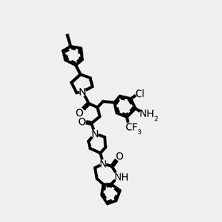 Cc1ccc(C2CCN(C(=O)C(CC(=O)N3CCC(N4CCc5ccccc5NC4=O)CC3)Cc3cc(Cl)c(N)c(C(F)(F)F)c3)CC2)cc1